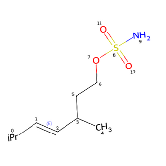 CC(C)/C=C/C(C)CCOS(N)(=O)=O